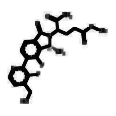 C[C@@H]1c2c(ccc(-c3nccc(CO)c3F)c2F)C(=O)N1C(CCC(=O)OC(C)(C)C)C(N)=O